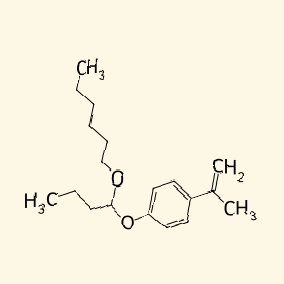 C=C(C)c1ccc(OC(CCC)OCCCCCC)cc1